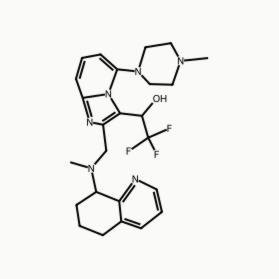 CN1CCN(c2cccc3nc(CN(C)C4CCCc5cccnc54)c(C(O)C(F)(F)F)n23)CC1